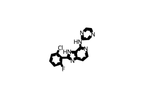 Fc1cccc(Cl)c1-c1nc2ccnc(Nc3cnccn3)c2[nH]1